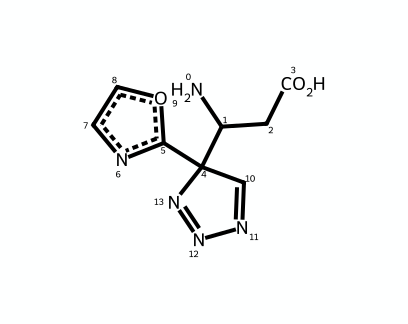 NC(CC(=O)O)C1(c2ncco2)C=NN=N1